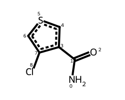 NC(=O)c1cscc1Cl